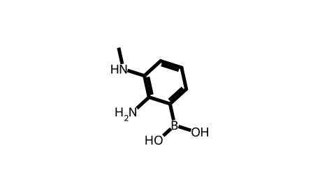 CNc1cccc(B(O)O)c1N